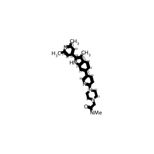 CNC(=O)CN1CCN(c2ccc(-c3ccc4c(C)c(-c5cc(C)nc(C)c5)[nH]c4c3)cn2)CC1